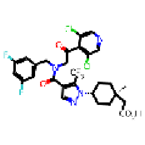 C[C@]1(CC(=O)O)CC[C@H](n2ncc(C(=O)N(CC(=O)c3c(Cl)cncc3Cl)Cc3cc(F)cc(F)c3)c2C(F)(F)F)CC1